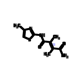 C/C(C(N)=O)=C(/C)C(=O)Nc1nc(C)cs1